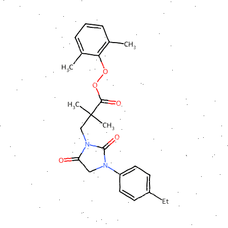 CCc1ccc(N2CC(=O)N(CC(C)(C)C(=O)OOc3c(C)cccc3C)C2=O)cc1